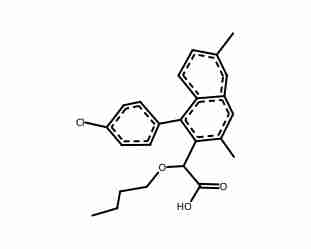 CCCCOC(C(=O)O)c1c(C)cc2cc(C)ccc2c1-c1ccc(Cl)cc1